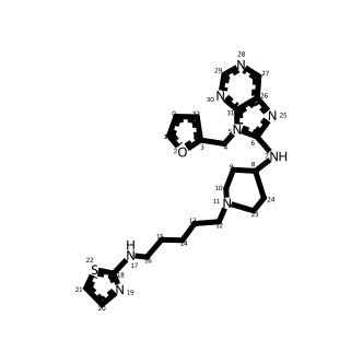 c1coc(Cn2c(NC3CCN(CCCCCNc4nccs4)CC3)nc3cncnc32)c1